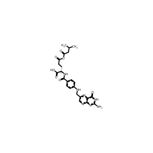 CC(C)CC(=O)OC(=O)CC[C@H](NC(=O)c1ccc(NCc2cnc3nc(N)[nH]c(=O)c3n2)cc1)C(=O)O